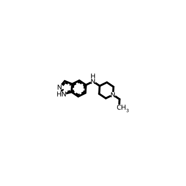 CCN1CCC(Nc2ccc3[nH]ncc3c2)CC1